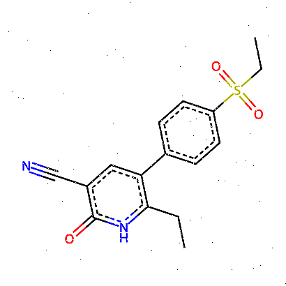 CCc1[nH]c(=O)c(C#N)cc1-c1ccc(S(=O)(=O)CC)cc1